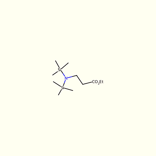 CCOC(=O)CCN([Si](C)(C)C)[Si](C)(C)C